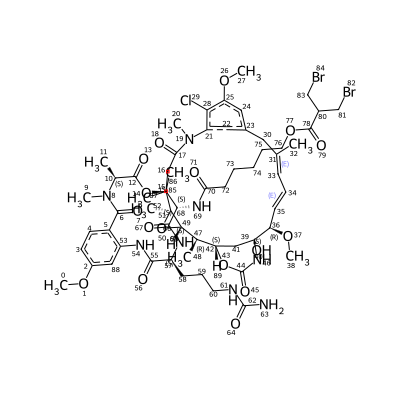 COc1ccc(C(=O)N(C)[C@@H](C)C(=O)O[C@H]2CC(=O)N(C)c3cc(cc(OC)c3Cl)C/C(C)=C/C=C/[C@@H](OC)[C@@]3(O)C[C@H](OC(=O)N3)[C@@H](C)[C@@H]3O[C@@]23C)c(NC(=O)[C@H](CCCNC(N)=O)NC(=O)[C@@H](NC(=O)CCCCCOC(=O)C(CBr)CBr)C(C)C)c1